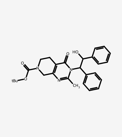 Cc1nc2c(c(=O)n1C(c1ccccc1)C(O)c1ccccc1)CCN(C(=O)OC(C)(C)C)C2